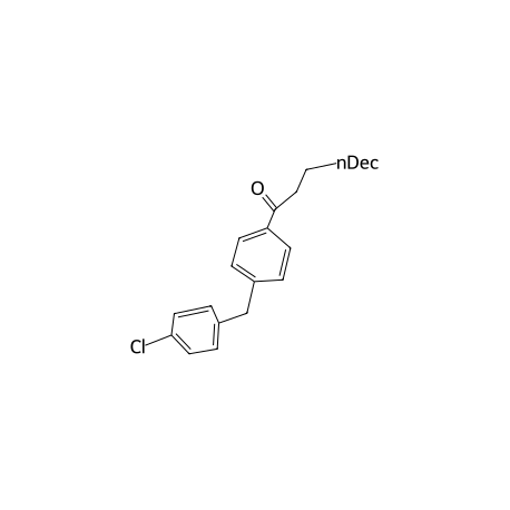 CCCCCCCCCCCCC(=O)c1ccc(Cc2ccc(Cl)cc2)cc1